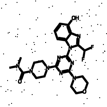 CN(C)C(=O)N1CCN(c2nc(N3CCOCC3)nc(-n3c(C(F)F)nc4c(O)cccc43)n2)CC1